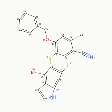 N#Cc1cc(Sc2c(F)cc3[nH]ccc3c2Br)c(OCc2ccccc2)cc1F